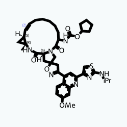 COc1ccc2c(C3=NOC4(C3)C[C@H]3C(=O)N[C@]5(C)C[C@H]5/C=C\CCCCCC(NC(=O)OC5CCCC5)C(=O)N3C4)cc(-c3csc(NC(C)C)n3)nc2c1